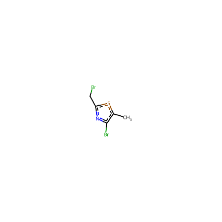 Cc1sc(CBr)nc1Br